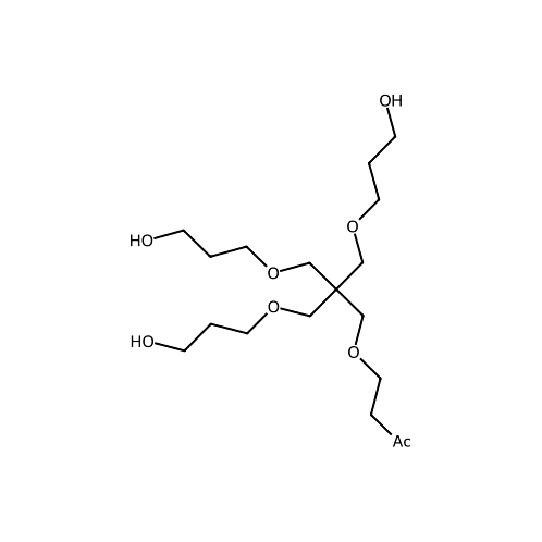 CC(=O)CCOCC(COCCCO)(COCCCO)COCCCO